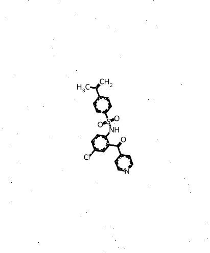 C=C(C)c1ccc(S(=O)(=O)Nc2ccc(Cl)cc2C(=O)c2ccncc2)cc1